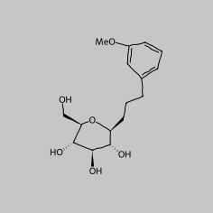 COc1cccc(CCC[C@@H]2O[C@H](CO)[C@@H](O)[C@H](O)[C@H]2O)c1